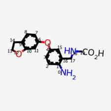 Nc1ccc(Oc2ccc3c(c2)OCC3)cc1CNC(=O)O